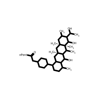 CCCCCC(=O)CC1CCC(C2CCC(C)C3C(O)C4C(C)[C@]5(C)C(O)C(C(C)O)C(C)C[C@]5(C)C[C@]4(C)CC23)CC1